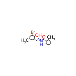 Cc1cc(Br)c(O)c(/C=N/NC(=O)c2ccccc2C)c1